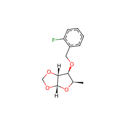 C[C@H]1O[C@@H]2OCO[C@@H]2[C@H]1OCc1ccccc1F